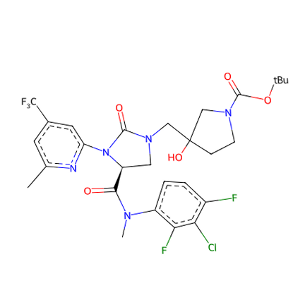 Cc1cc(C(F)(F)F)cc(N2C(=O)N(CC3(O)CCN(C(=O)OC(C)(C)C)C3)C[C@H]2C(=O)N(C)c2ccc(F)c(Cl)c2F)n1